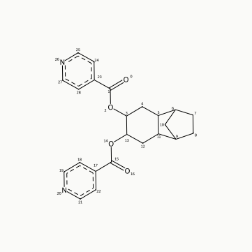 O=C(OC1CC2C3CCC(C3)C2CC1OC(=O)c1ccncc1)c1ccncc1